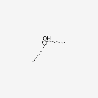 CCCCCCCCCCc1ccc(O)c(CCCCCCCCC)c1